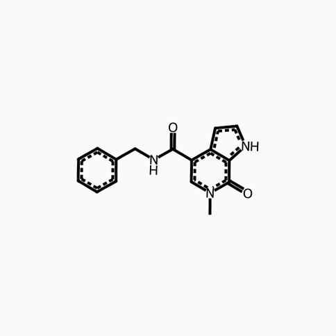 Cn1cc(C(=O)NCc2ccccc2)c2cc[nH]c2c1=O